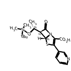 C[C@@H](O[Si](C)(C)C(C)(C)C)[C@H]1C(=O)N2C(C(=O)O)=C(c3cccnc3)S[C@H]12